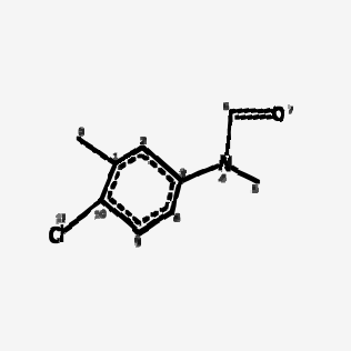 Cc1cc(N(C)C=O)ccc1Cl